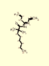 C=C/N=C(/NC(=O)C(C)(C)CCCCCC)SC=C